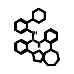 c1ccc(C2CCCCCC2)c(NN(Nc2ccccc2C2CCCCC2)c2ccccc2C2CCCC2)c1